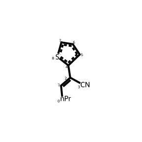 CCC/C=C(\C#N)c1cccs1